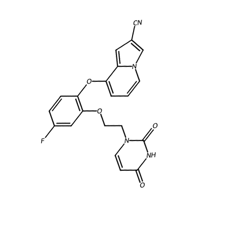 N#Cc1cc2c(Oc3ccc(F)cc3OCCn3ccc(=O)[nH]c3=O)cccn2c1